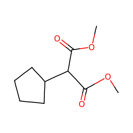 COC(=O)C(C(=O)OC)C1CCCC1